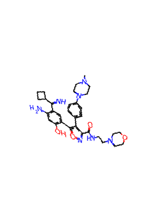 CN1CCN(c2ccc(-c3c(C(=O)NCCN4CCOCC4)noc3-c3cc(C(=N)C4CCC4)c(N)cc3O)cc2)CC1